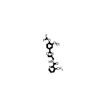 CCOc1cc(-c2nc(CNC(=O)c3ncccc3C)co2)ccc1OC(F)F